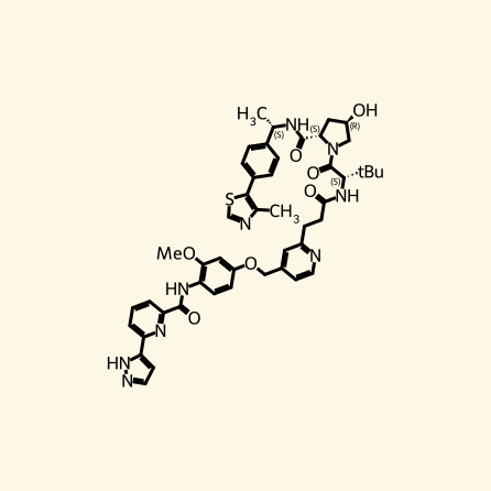 COc1cc(OCc2ccnc(CCC(=O)N[C@H](C(=O)N3C[C@H](O)C[C@H]3C(=O)N[C@@H](C)c3ccc(-c4scnc4C)cc3)C(C)(C)C)c2)ccc1NC(=O)c1cccc(-c2ccn[nH]2)n1